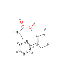 C=C(C)C(=O)OC.CCC=C(CC)c1ccccc1